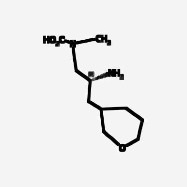 CN(C[C@H](N)CC1CCCOC1)C(=O)O